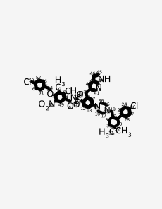 Cc1c(Cl)c(C(=O)NS(=O)(=O)c2ccc(N3CCN(CC4=C(c5ccc(Cl)cc5)CC(C)(C)CC4)CC3)cc2Cc2cnc3[nH]ccc3c2)cc([N+](=O)[O-])c1OCc1ccc(Cl)cc1